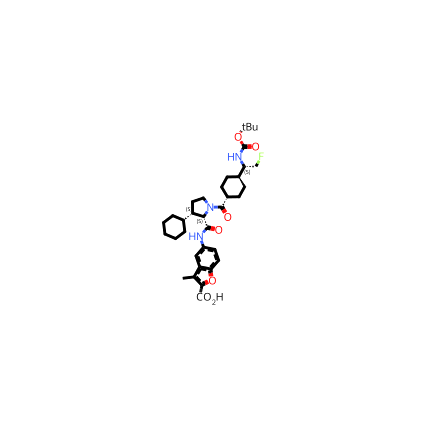 Cc1c(C(=O)O)oc2ccc(NC(=O)[C@@H]3[C@H](C4CCCCC4)CCN3C(=O)[C@H]3CC[C@H]([C@@H](CF)NC(=O)OC(C)(C)C)CC3)cc12